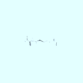 C=C(C)C(=O)OC/C=C/COC(=O)C(=C)C